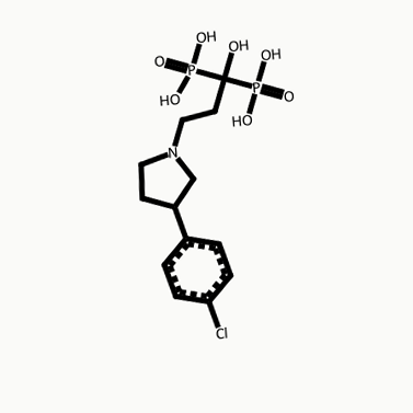 O=P(O)(O)C(O)(CCN1CCC(c2ccc(Cl)cc2)C1)P(=O)(O)O